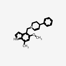 COc1cc(C)c2[nH]ccc2c1CN1C=CC(c2ccccc2)CC1